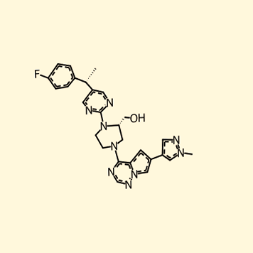 C[C@@H](c1ccc(F)cc1)c1cnc(N2CCN(c3ncnn4cc(-c5cnn(C)c5)cc34)C[C@H]2CO)nc1